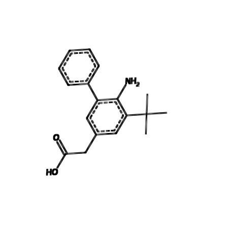 CC(C)(C)c1cc(CC(=O)O)cc(-c2ccccc2)c1N